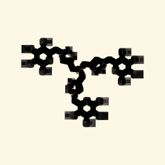 OC1OC(Cn2cc(CN(Cc3cn(CC4OC(O)C(O)C(O)C4O)nn3)Cc3cn(CC4OC(O)C(O)C(O)C4O)nn3)nn2)C(O)C(O)C1O